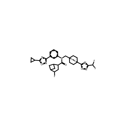 O=C(C1CC(F)C2CC1C2)N(CC12CCC(c3nc(C(F)F)no3)(CC1)CC2)c1cccc(-c2noc(C3CC3)n2)c1